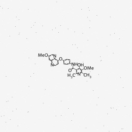 COc1cnc2c(Oc3ccc(NC(=O)c4c(C)nc(C)c(OC)c4O)cc3)ccnc2c1